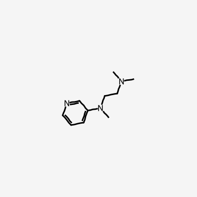 CN(C)CCN(C)c1cccnc1